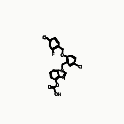 O=C(O)Oc1cccc2c1ncn2Cc1cc(Cl)ccc1OCc1ccc(Cl)cc1F